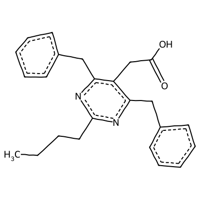 CCCCc1nc(Cc2ccccc2)c(CC(=O)O)c(Cc2ccccc2)n1